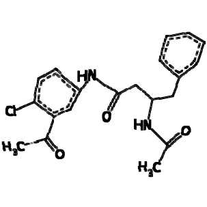 CC(=O)NC(CC(=O)Nc1ccc(Cl)c(C(C)=O)c1)Cc1ccccc1